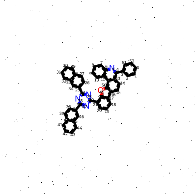 c1ccc(-c2nc3ccccc3c3c2ccc2c4cccc(-c5nc(-c6ccc7ccccc7c6)nc(-c6ccc7ccccc7c6)n5)c4oc23)cc1